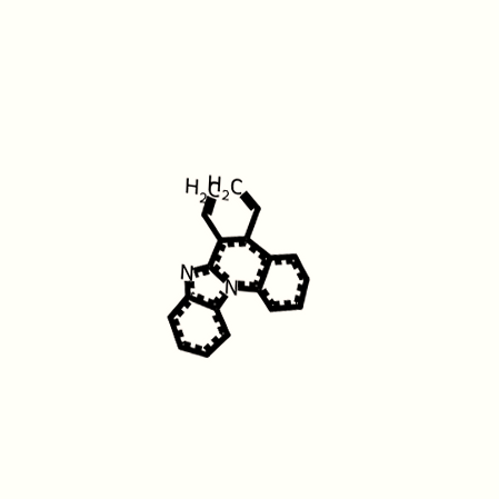 C=Cc1c(C=C)c2nc3ccccc3n2c2ccccc12